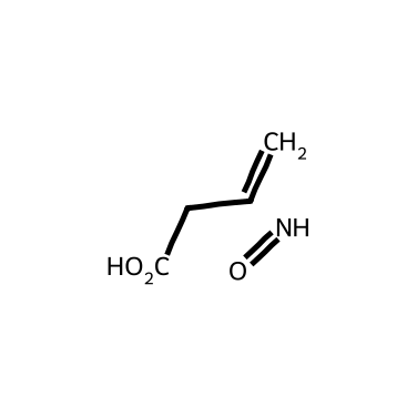 C=CCC(=O)O.N=O